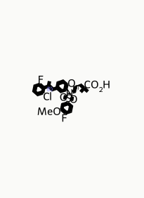 COc1cc(S(=O)(=O)N2C[C@H](CC(C)(C)C(=O)O)Oc3ccc(/C=C(\C)c4c(F)cccc4Cl)cc32)ccc1F